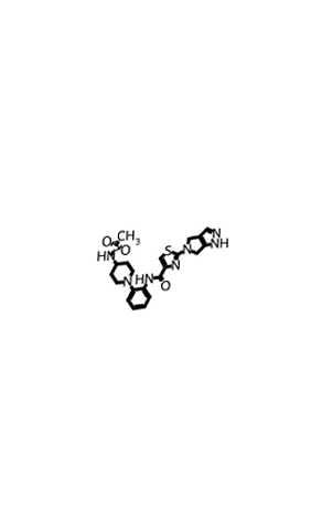 CS(=O)(=O)NC1CCN(c2ccccc2NC(=O)c2csc(N3Cc4cn[nH]c4C3)n2)CC1